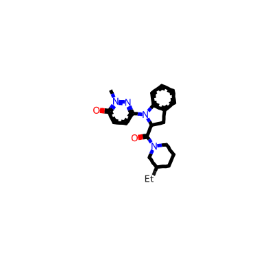 CCC1CCCN(C(=O)C2Cc3ccccc3N2c2ccc(=O)n(C)n2)C1